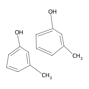 Cc1cccc(O)c1.Cc1cccc(O)c1